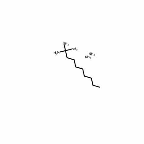 CCCCCCCCC(N)(N)N.N.N